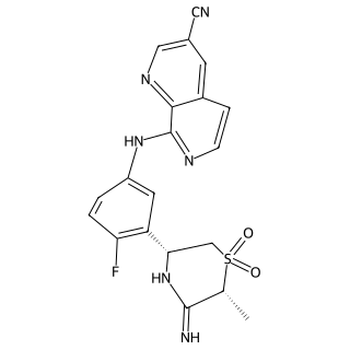 C[C@@H]1C(=N)N[C@H](c2cc(Nc3nccc4cc(C#N)cnc34)ccc2F)CS1(=O)=O